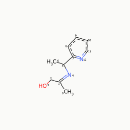 CC(CO)=NC(C)c1ccccn1